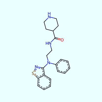 O=C(NCCN(c1ccccc1)c1nsc2ccccc12)C1CCNCC1